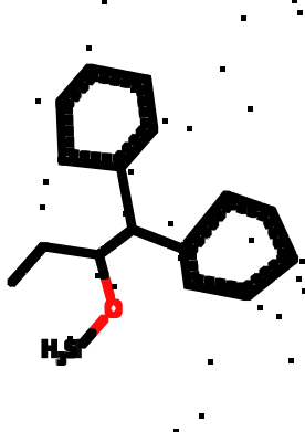 CCC(O[SiH3])C(c1ccccc1)c1ccccc1